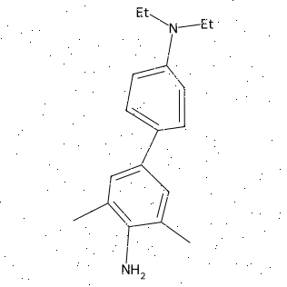 CCN(CC)c1ccc(-c2cc(C)c(N)c(C)c2)cc1